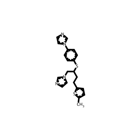 Cc1ccc(CCC(Cn2ccnc2)Sc2ccc(-n3ccnc3)cc2)s1